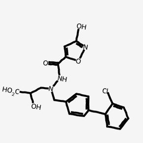 O=C(NN(Cc1ccc(-c2ccccc2Cl)cc1)CC(O)C(=O)O)c1cc(O)no1